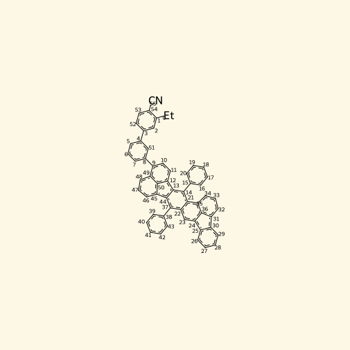 CCc1cc(-c2cccc(-c3ccc4c5c(-c6ccccc6)c6c(cc7c8ccccc8c8cccc6c87)c(-c6ccccc6)c5c5cccc3c54)c2)ccc1C#N